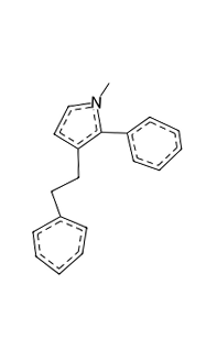 Cn1ccc(CCc2ccccc2)c1-c1ccccc1